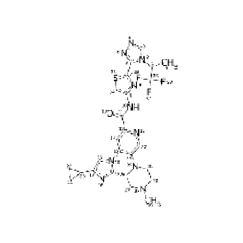 CC(n1cnnc1-c1nc(NC(=O)c2cc(-n3cnc(C4CC4)c3)c(N3CCN(C)CC3)cn2)cs1)C(F)(F)F